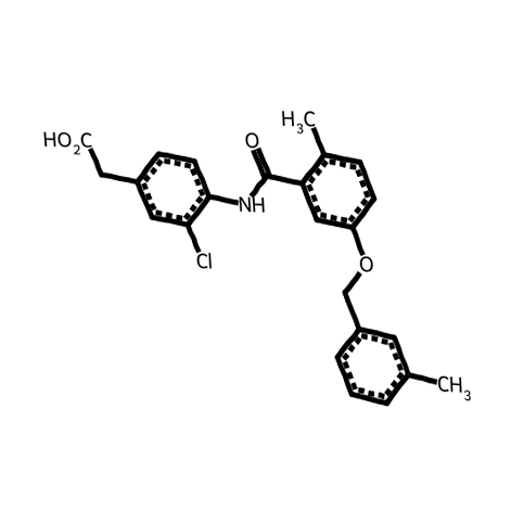 Cc1cccc(COc2ccc(C)c(C(=O)Nc3ccc(CC(=O)O)cc3Cl)c2)c1